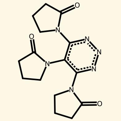 O=C1CCCN1c1nnnc(N2CCCC2=O)c1N1CCCC1=O